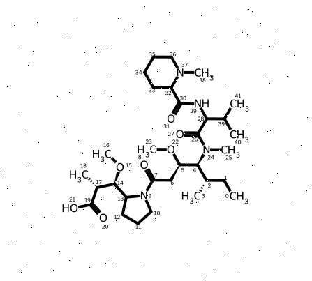 CC[C@H](C)[C@@H]([C@@H](CC(=O)N1CCCC1[C@H](OC)[C@@H](C)C(=O)O)OC)N(C)C(=O)C(NC(=O)C1CCCCN1C)C(C)C